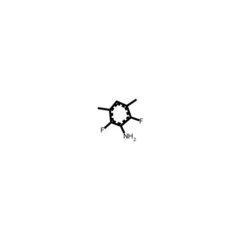 Cc1cc(C)c(F)c(N)c1F